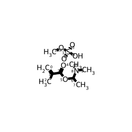 C=C(C)C(=O)OC(C)N(C)C.COS(=O)(=O)O